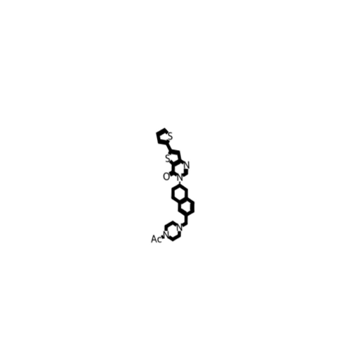 CC(=O)N1CCN(Cc2ccc3c(c2)CC[C@H](n2cnc4cc(-c5cccs5)sc4c2=O)C3)CC1